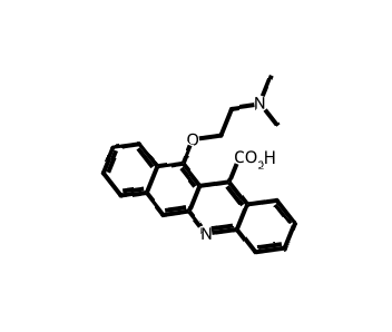 CN(C)CCOc1c2ccccc2cc2nc3ccccc3c(C(=O)O)c12